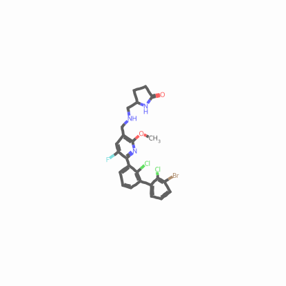 COc1nc(-c2cccc(-c3cccc(Br)c3Cl)c2Cl)c(F)cc1CNCC1CCC(=O)N1